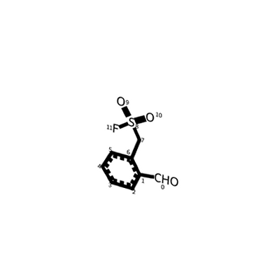 O=Cc1ccccc1CS(=O)(=O)F